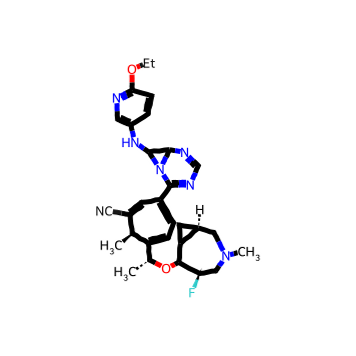 CCOc1ccc(NC2C3N=CN=C(C4=CC=C([C@@H](C)OC5C6C[C@H]6CN(C)C[C@H]5F)[C@@H](C)C(C#N)=C4)N32)cn1